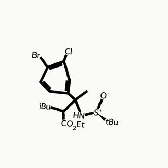 CCOC(=O)C(C(C)CC)C(C)(N[S@@+]([O-])C(C)(C)C)c1ccc(Br)c(Cl)c1